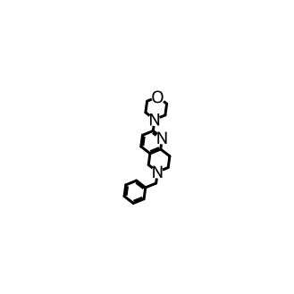 c1ccc(CN2CCc3nc(N4CCOCC4)ccc3C2)cc1